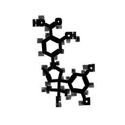 Cc1cc(N2CC(c3cc(Cl)cc(Cl)c3)(C(F)(F)F)C=N2)ccc1C(=O)O